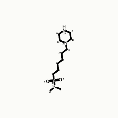 CN(C)S(=O)(=O)CCCCCCN1CCNCC1